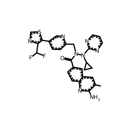 Cc1cc2cc(C(=O)N(Cc3ccc(-c4scnc4C(F)F)cn3)N(c3ncccn3)C3CC3)ccc2nc1N